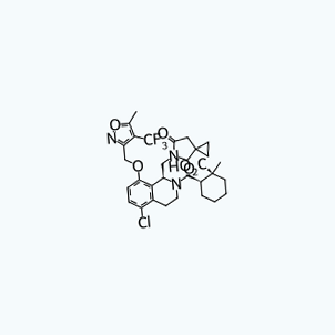 Cc1onc(COc2ccc(Cl)c3c2[C@@H](CN2CC4(CC4)CC2=O)N(C(=O)[C@@H]2CCCC[C@]2(C)C(=O)O)CC3)c1C(F)(F)F